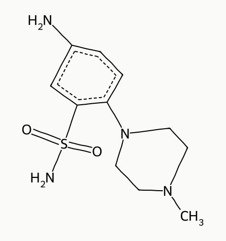 CN1CCN(c2ccc(N)cc2S(N)(=O)=O)CC1